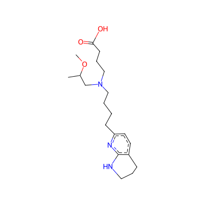 COC(C)CN(CCCCc1ccc2c(n1)NCCC2)CCCC(=O)O